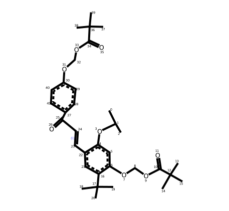 CC(C)Oc1cc(OCOC(=O)C(C)(C)C)c(C(C)(C)C)cc1/C=C/C(=O)c1ccc(OCOC(=O)C(C)(C)C)cc1